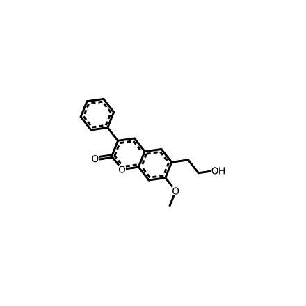 COc1cc2oc(=O)c(-c3ccccc3)cc2cc1CCO